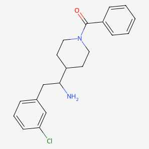 NC(Cc1cccc(Cl)c1)C1CCN(C(=O)c2ccccc2)CC1